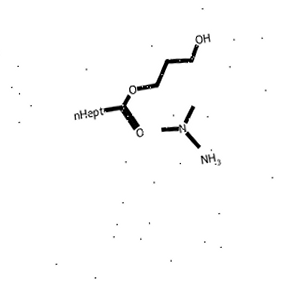 CCCCCCCC(=O)OCCCO.CN(C)C.N